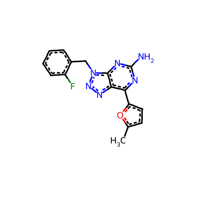 Cc1ccc(-c2nc(N)nc3c2nnn3Cc2ccccc2F)o1